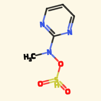 CN(O[SH](=O)=O)c1ncccn1